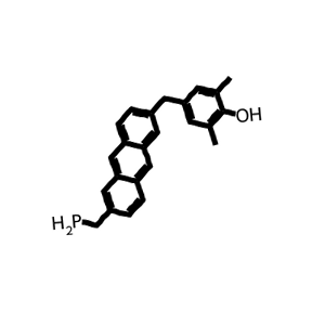 Cc1cc(Cc2ccc3cc4cc(CP)ccc4cc3c2)cc(C)c1O